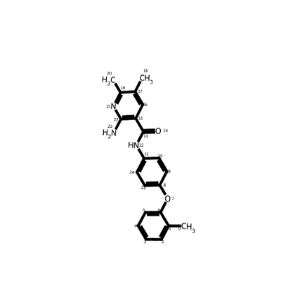 Cc1ccccc1Oc1ccc(NC(=O)c2cc(C)c(C)nc2N)cc1